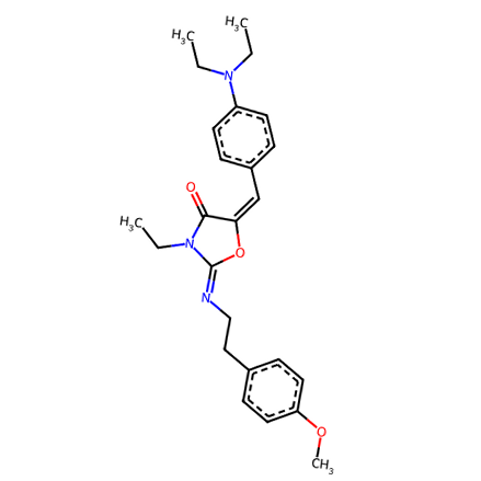 CCN1C(=O)/C(=C\c2ccc(N(CC)CC)cc2)OC1=NCCc1ccc(OC)cc1